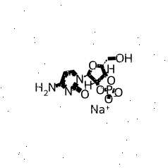 Nc1ccn([C@@H]2O[C@H](CO)[C@H]3OP(=O)([O-])O[C@H]32)c(=O)n1.[Na+]